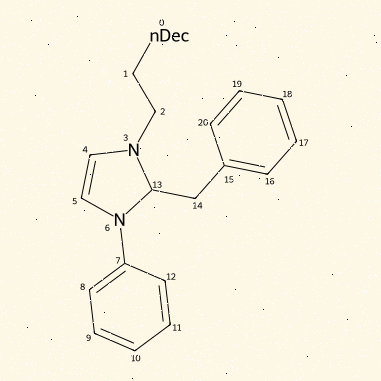 CCCCCCCCCCCCN1C=CN(c2ccccc2)C1Cc1ccccc1